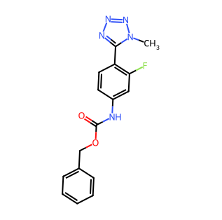 Cn1nnnc1-c1ccc(NC(=O)OCc2ccccc2)cc1F